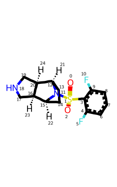 O=S(=O)(c1c(F)cccc1F)N1[C@@H]2CC[C@H]1[C@H]1CNC[C@H]12